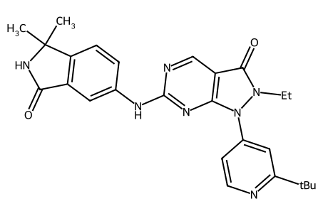 CCn1c(=O)c2cnc(Nc3ccc4c(c3)C(=O)NC4(C)C)nc2n1-c1ccnc(C(C)(C)C)c1